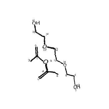 C=C(C)OC(=C)C.OCCOCCOCCO